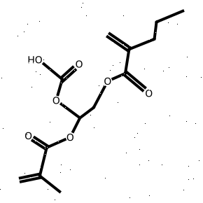 C=C(C)C(=O)OC(COC(=O)C(=C)CCC)OC(=O)O